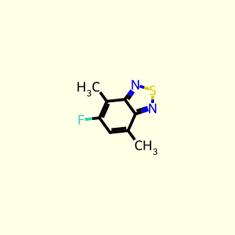 Cc1cc(F)c(C)c2nsnc12